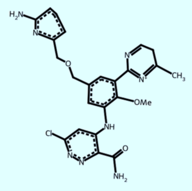 COc1c(Nc2cc(Cl)nnc2C(N)=O)cc(COCc2cccc(N)n2)cc1C1=[N+]=C(C)CC=N1